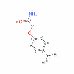 CCC(CC)c1ccc(OCC(N)=O)cc1